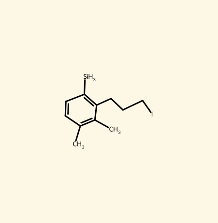 Cc1ccc([SiH3])c(CCCI)c1C